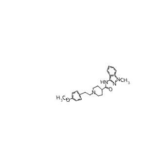 COc1ccc(CCN2CCC(C(=O)Nc3nn(C)c4ccccc34)CC2)cc1